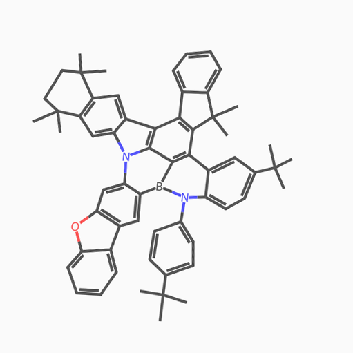 CC(C)(C)c1ccc(N2B3c4cc5c(cc4-n4c6cc7c(cc6c6c8c(c(c3c64)-c3cc(C(C)(C)C)ccc32)C(C)(C)c2ccccc2-8)C(C)(C)CCC7(C)C)oc2ccccc25)cc1